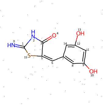 N=C1NC(=O)/C(=C\c2cc(O)cc(O)c2)S1